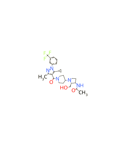 CC(=O)N[C@@H]1CCN(C2CCN(C(=O)c3c(C)nn(-c4cccc(C(F)(F)F)c4)c3C3CC3)CC2)[C@@H]1CO